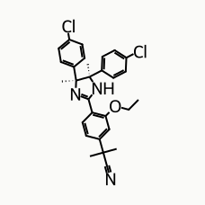 CCOc1cc(C(C)(C)C#N)ccc1C1=N[C@@](C)(c2ccc(Cl)cc2)[C@@](C)(c2ccc(Cl)cc2)N1